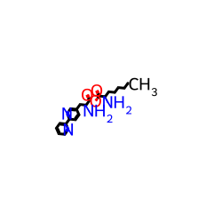 CCCCCC[C@@H](N)C(=O)OC(=O)[C@H](N)Cc1ccc(-c2ccccn2)nc1